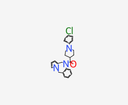 O=C(C1CCN(c2ccc(Cl)cc2)CC1)N1Cc2cccn2Cc2ccccc21